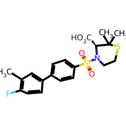 Cc1cc(-c2ccc(S(=O)(=O)N3CCSC(C)(C)[C@@H]3C(=O)O)cc2)ccc1F